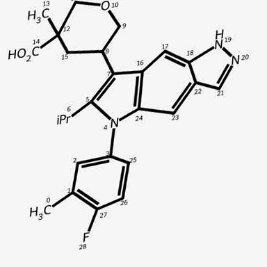 Cc1cc(-n2c(C(C)C)c(C3COCC(C)(C(=O)O)C3)c3cc4[nH]ncc4cc32)ccc1F